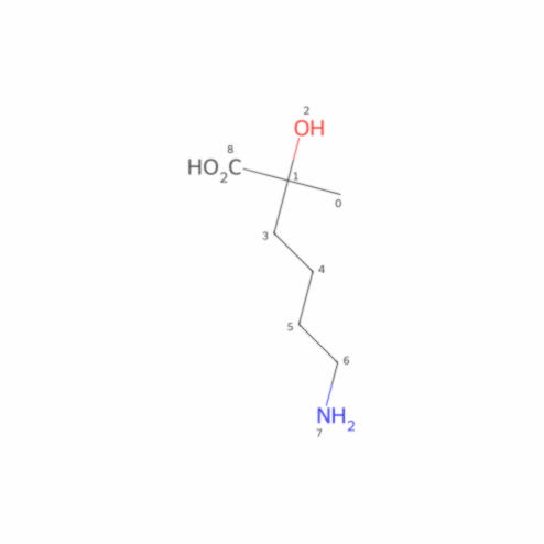 CC(O)(CCCCN)C(=O)O